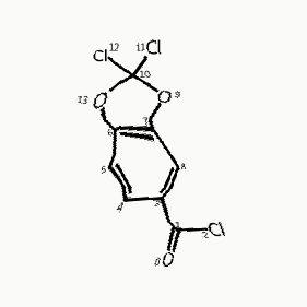 O=C(Cl)c1ccc2c(c1)OC(Cl)(Cl)O2